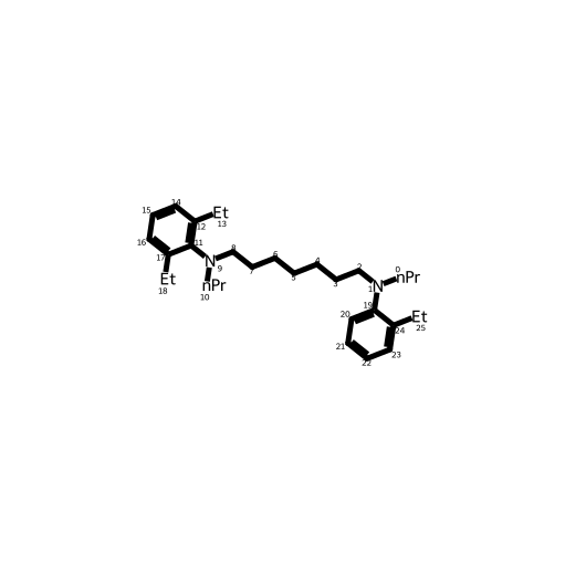 CCCN(CCCCCCCN(CCC)c1c(CC)cccc1CC)c1ccccc1CC